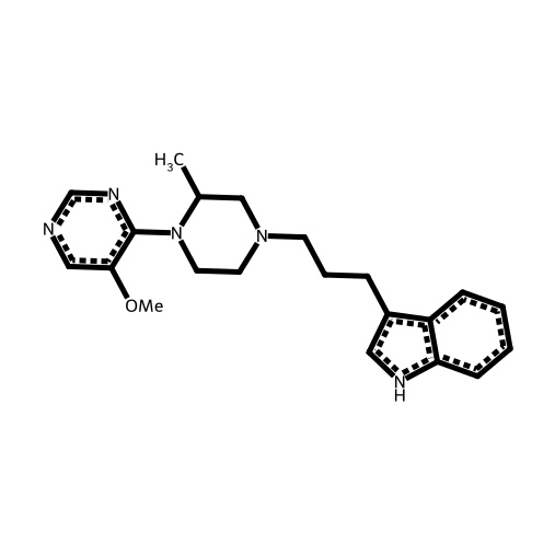 COc1cncnc1N1CCN(CCCc2c[nH]c3ccccc23)CC1C